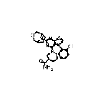 NC(=O)C1CCCN(c2nc(N3C4CCC3COC4)nc3scc(-c4ccccc4Cl)c23)C1